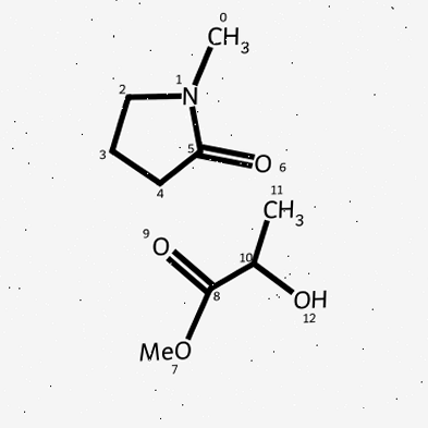 CN1CCCC1=O.COC(=O)C(C)O